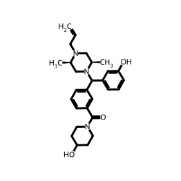 C=CCN1C[C@@H](C)N(C(c2cccc(O)c2)c2cccc(C(=O)N3CCC(O)CC3)c2)C[C@H]1C